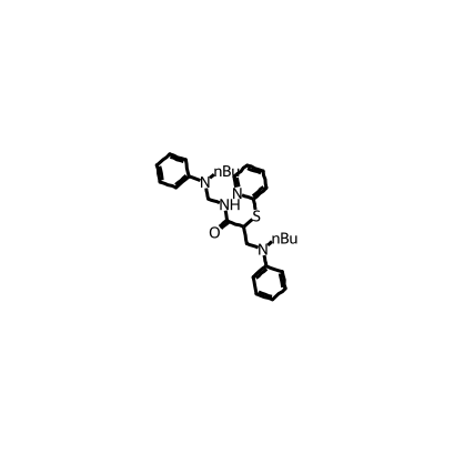 CCCCN(CNC(=O)C(CN(CCCC)c1ccccc1)Sc1ccccn1)c1ccccc1